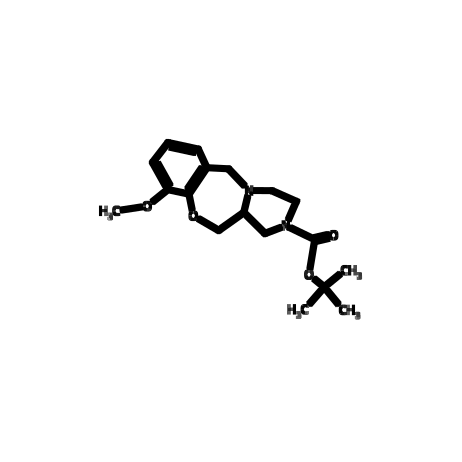 COc1cccc2c1OCC1CN(C(=O)OC(C)(C)C)CCN1C2